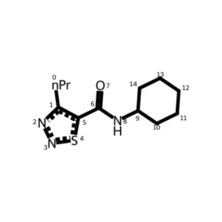 CCCc1nnsc1C(=O)NC1CCCCC1